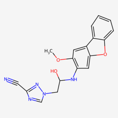 COc1cc2c(cc1NC(O)Cn1cnc(C#N)n1)oc1ccccc12